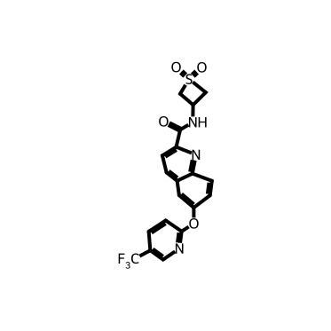 O=C(NC1CS(=O)(=O)C1)c1ccc2cc(Oc3ccc(C(F)(F)F)cn3)ccc2n1